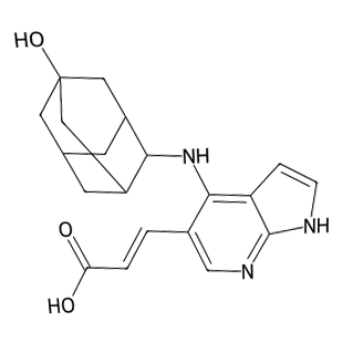 O=C(O)/C=C/c1cnc2[nH]ccc2c1NC1C2CC3CC1CC(O)(C3)C2